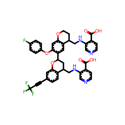 O=C(O)c1ccncc1NCC1CCOc2cc(Oc3ccc(F)cc3)c(C3CC(CNc4cnccc4C(=O)O)c4ccc(C#CC(F)(F)F)cc4O3)cc21